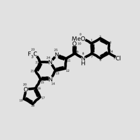 COc1ccc(Cl)cc1NC(=O)c1cc2nc(-c3ccco3)cc(C(F)(F)F)n2n1